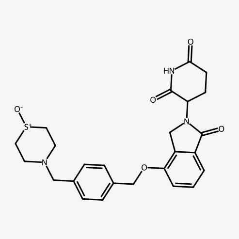 O=C1CCC(N2Cc3c(OCc4ccc(CN5CC[S+]([O-])CC5)cc4)cccc3C2=O)C(=O)N1